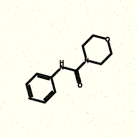 O=C(Nc1cc[c]cc1)N1CCOCC1